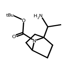 CC(N)C12CCC(CC1)N2C(=O)OC(C)(C)C